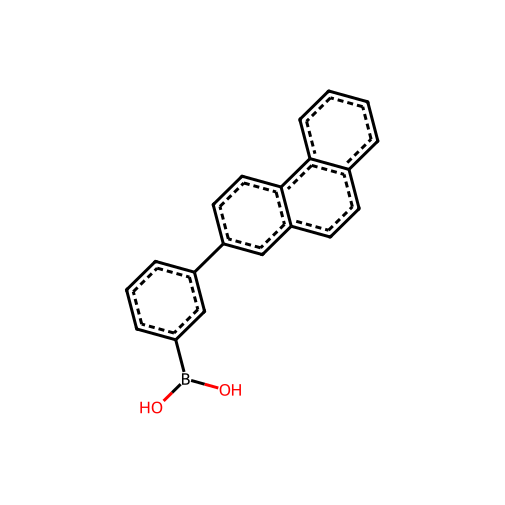 OB(O)c1cccc(-c2ccc3c(ccc4ccccc43)c2)c1